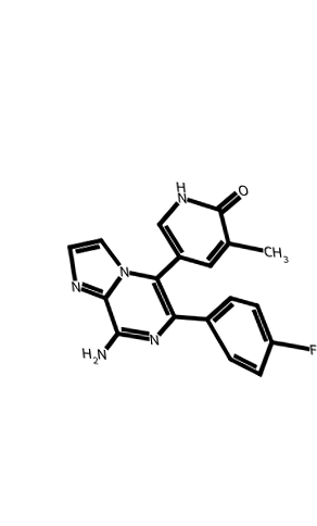 Cc1cc(-c2c(-c3ccc(F)cc3)nc(N)c3nccn23)c[nH]c1=O